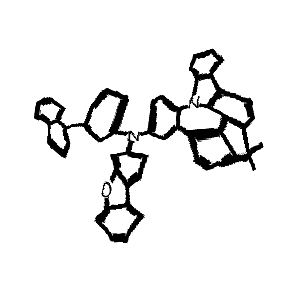 CC1(C)c2cccc3c2-c2c1ccc1c4ccccc4n(c21)-c1ccc(N(c2cccc(-c4cccc5ccccc45)c2)c2ccc4c(c2)oc2ccccc24)cc1-3